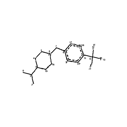 CC(C)C1CCN(Cc2ccc(C(F)(F)F)nc2)CC1